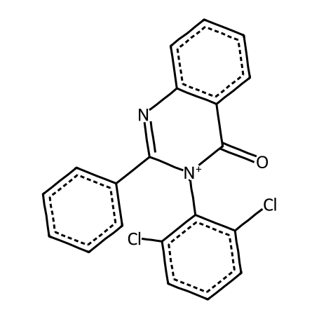 O=C1c2ccccc2N=C(c2ccccc2)[N+]1c1c(Cl)cccc1Cl